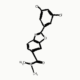 CN(C)C(=O)c1ccc2nc(-c3cc(Cl)cc(Cl)c3)oc2c1